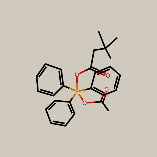 CC(=O)OP(OC(=O)CC(C)(C)C)(c1ccccc1)(c1ccccc1)c1ccccc1